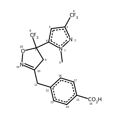 Cn1nc(C(F)(F)F)cc1C1(C(F)(F)F)CC(Cc2ccc(C(=O)O)cc2)=NO1